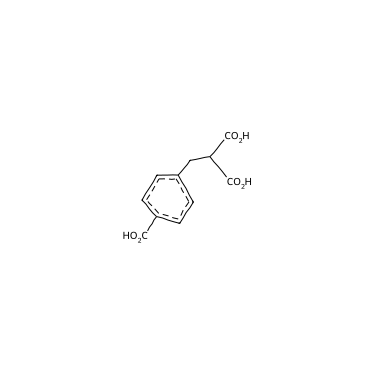 O=C(O)c1ccc(CC(C(=O)O)C(=O)O)cc1